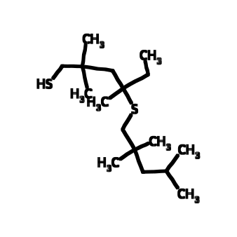 CCC(C)(CC(C)(C)CS)SCC(C)(C)CC(C)C